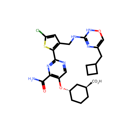 NC(=O)c1nc(-c2sc(Cl)cc2CNC2=NC(CC3CCC3)=CON2)ncc1O[C@H]1CCC[C@H](C(=O)O)C1